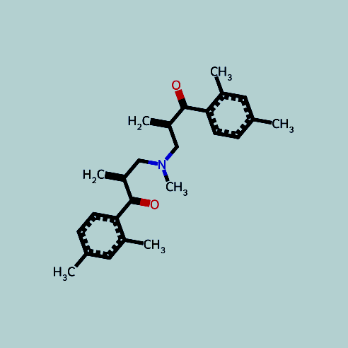 C=C(CN(C)CC(=C)C(=O)c1ccc(C)cc1C)C(=O)c1ccc(C)cc1C